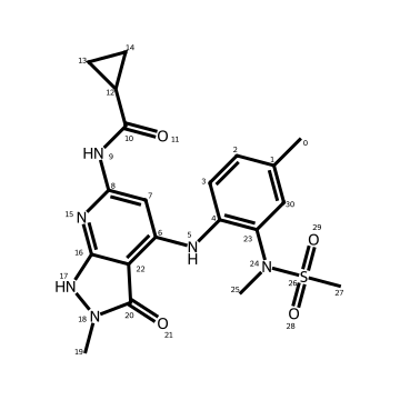 Cc1ccc(Nc2cc(NC(=O)C3CC3)nc3[nH]n(C)c(=O)c23)c(N(C)S(C)(=O)=O)c1